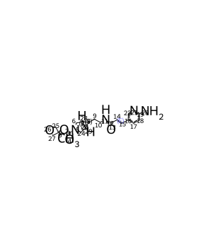 CC1(OC(=O)N2C[C@@H]3[C@@H](CCNC(=O)/C=C/c4ccc(N)nc4)[C@@H]3C2)COC1